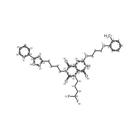 Cc1ccccc1OCCCOc1nc2c(=O)n(CCCCc3noc(-c4ccccn4)n3)c(=O)n(CCCC(F)F)c2c(=O)[nH]1